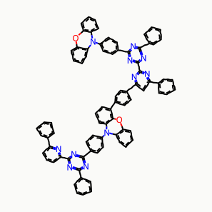 c1ccc(-c2cccc(-c3nc(-c4ccccc4)nc(-c4ccc(N5c6ccccc6Oc6c(-c7ccc(-c8cc(-c9ccccc9)nc(-c9nc(-c%10ccccc%10)nc(-c%10ccc(N%11c%12ccccc%12Oc%12ccccc%12%11)cc%10)n9)n8)cc7)cccc65)cc4)n3)n2)cc1